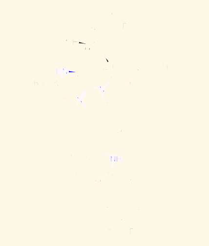 CC(C)(C)[S@@+]([O-])N[C@H](c1nc2cc([C@H](NC(=O)CC3CC(F)(F)C3)C3CC3)ccc2n1COCC[Si](C)(C)C)C1[C@H]2CC(F)(F)C[C@@H]12